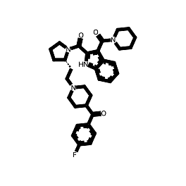 O=C(c1ccc(F)cc1)C1CCN(CC[C@@H]2CCCN2C(=O)c2[nH]c3ccccc3c2C(=O)N2CCCCC2)CC1